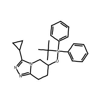 CC(C)(C)[Si](OC1CCc2nnc(C3CC3)n2C1)(c1ccccc1)c1ccccc1